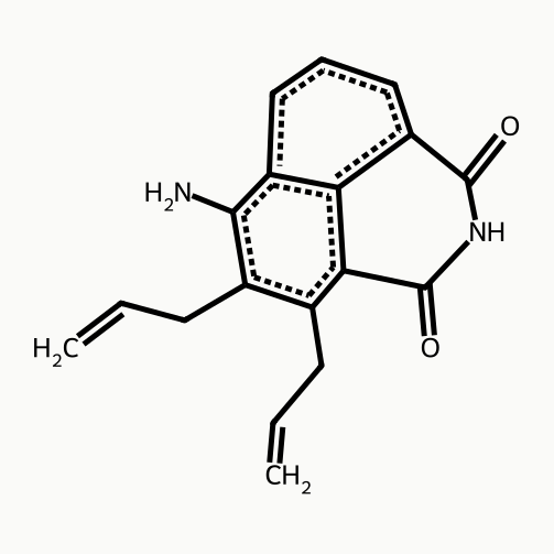 C=CCc1c(CC=C)c2c3c(cccc3c1N)C(=O)NC2=O